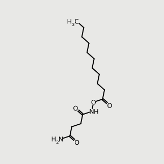 CCCCCCCCCCC(=O)ONC(=O)CCC(N)=O